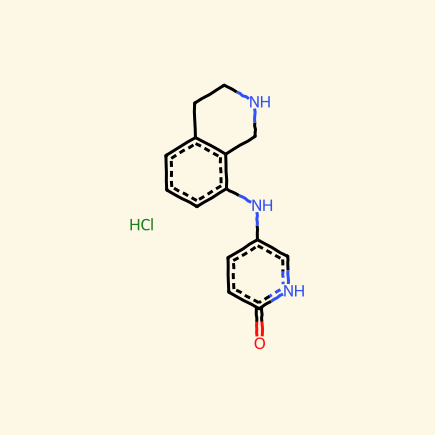 Cl.O=c1ccc(Nc2cccc3c2CNCC3)c[nH]1